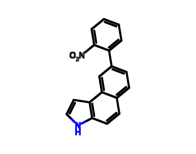 O=[N+]([O-])c1ccccc1-c1ccc2ccc3[nH]ccc3c2c1